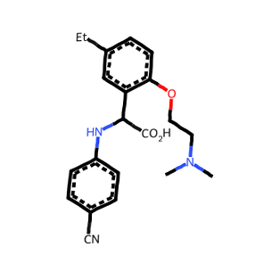 CCc1ccc(OCCN(C)C)c(C(Nc2ccc(C#N)cc2)C(=O)O)c1